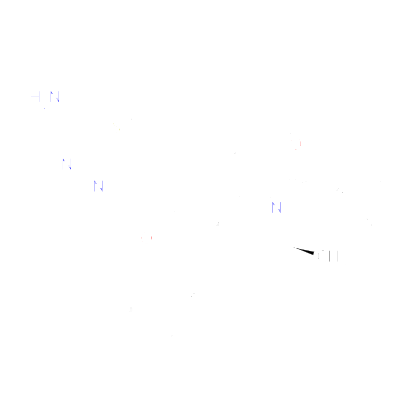 C[C@H]1CCc2c(ccc(-c3nnc(N)s3)c2OC2CCC2)N1C(=O)C1CC1